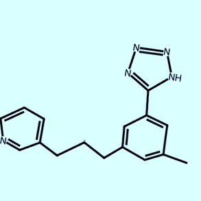 Cc1cc(C[CH]Cc2cccnc2)cc(-c2nnn[nH]2)c1